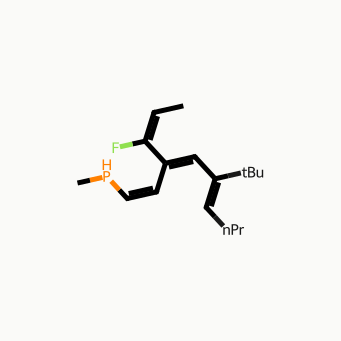 C/C=C(/F)C(=CC(=CCCC)C(C)(C)C)/C=C\PC